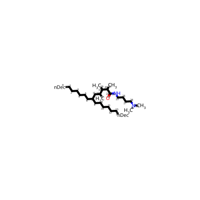 CCCCCCCCCCCCCCCCC(CCCCCCCCCCCCCCCC)CC(C)C(C)C(C)C(=O)NCCCCN(C)C